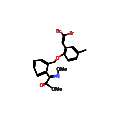 CO/N=C(/C(=O)OC)c1ccccc1COc1ccc(C)cc1C=C(Br)Br